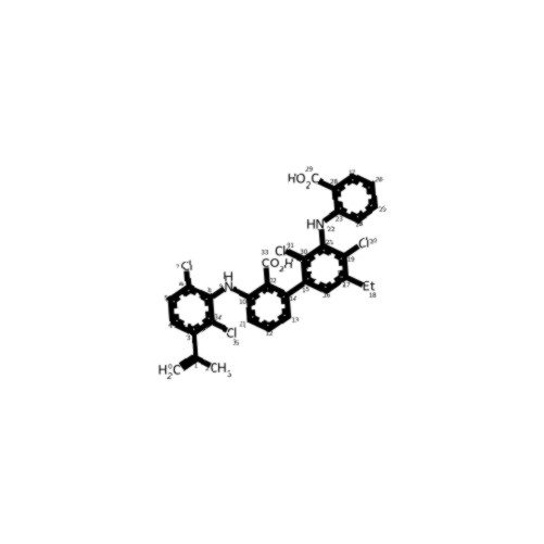 C=C(C)c1ccc(Cl)c(Nc2cccc(-c3cc(CC)c(Cl)c(Nc4ccccc4C(=O)O)c3Cl)c2C(=O)O)c1Cl